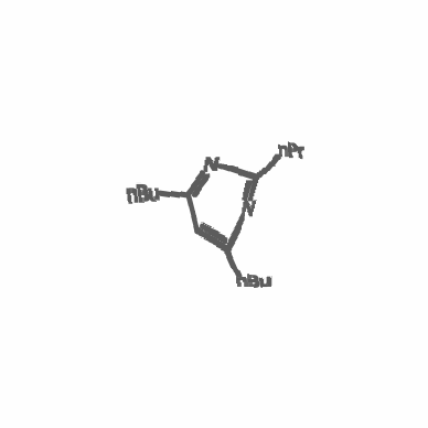 [CH2]CCc1nc(CCCC)cc(CCCC)n1